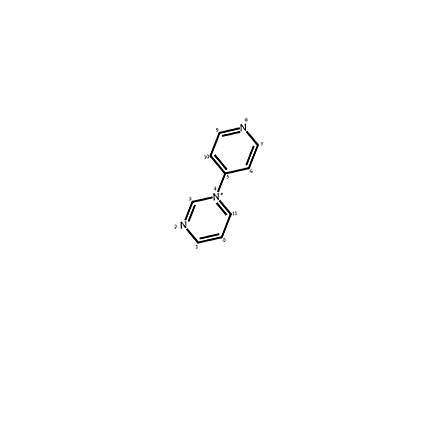 c1cnc[n+](-c2ccncc2)c1